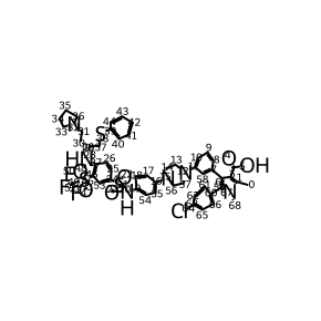 Cc1c(C(=O)O)c(-c2cccc(N3CCN(c4ccc(NS(=O)(=O)c5ccc(N[C@H](CCN6CCCC6)CSc6ccccc6)c(S(=O)(=O)C(F)(F)F)c5)cc4)CC3)c2)c(-c2ccc(Cl)cc2)n1C